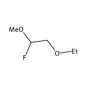 CCOCC(F)OC